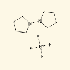 C1CCN(N2CCCC2)C1.F[B-](F)(F)F